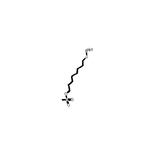 CCCCCCOCCCCCCCCOS(C)(=O)=O